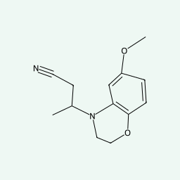 COc1ccc2c(c1)N(C(C)CC#N)CCO2